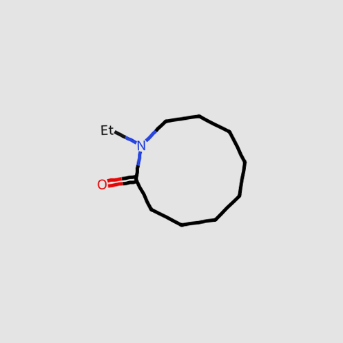 CCN1CCCCCCCCC1=O